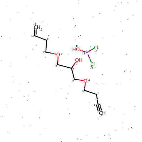 C#CCCOCC(O)COCCC=C.OP(Cl)Cl